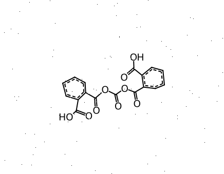 O=C(OC(=O)c1ccccc1C(=O)O)OC(=O)c1ccccc1C(=O)O